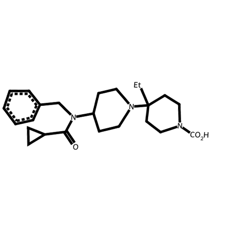 CCC1(N2CCC(N(Cc3ccccc3)C(=O)C3CC3)CC2)CCN(C(=O)O)CC1